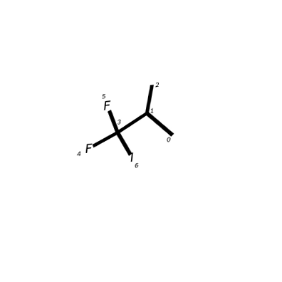 CC(C)C(F)(F)I